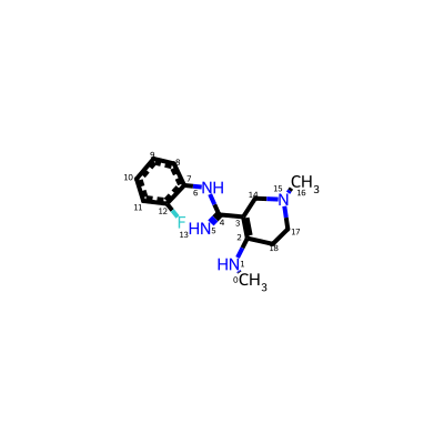 CNC1=C(C(=N)Nc2ccccc2F)CN(C)CC1